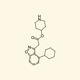 O=C(Cc1noc2cccc(C3CCCCC3)c12)OC1CCNCC1